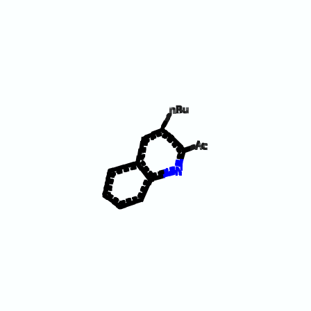 CCCCc1cc2ccccc2nc1C(C)=O